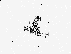 CN/C(=N\OC(=O)N[C@H]1CCNC1)[C@@H]1c2c(cnn2C)[C@H]2CN1C(=O)N2OS(=O)(=O)O